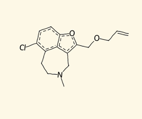 C=CCOCc1oc2ccc(Cl)c3c2c1CN(C)CC3